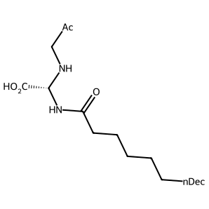 CCCCCCCCCCCCCCCC(=O)N[C@@H](NCC(C)=O)C(=O)O